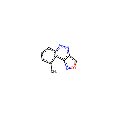 Cc1cccc2nnc3conc3c12